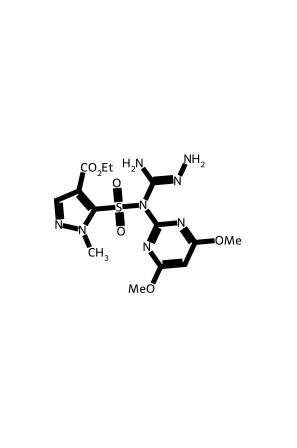 CCOC(=O)c1cnn(C)c1S(=O)(=O)N(C(N)=NN)c1nc(OC)cc(OC)n1